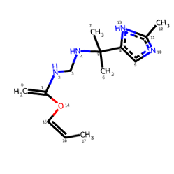 C=C(NCNC(C)(C)c1cnc(C)[nH]1)O/C=C\C